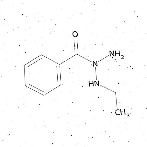 CCNN(N)C(=O)c1ccccc1